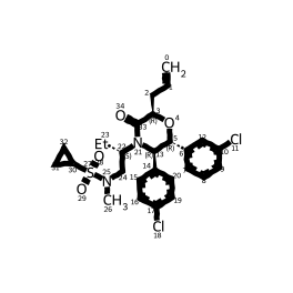 C=CC[C@H]1O[C@H](c2cccc(Cl)c2)[C@@H](c2ccc(Cl)cc2)N([C@@H](CC)CN(C)S(=O)(=O)C2CC2)C1=O